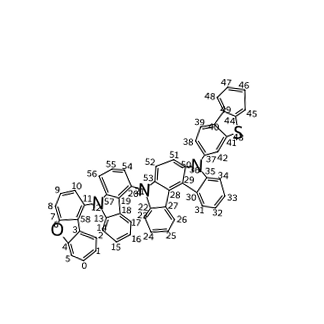 c1ccc2c(c1)oc1cccc(-n3c4ccccc4c4c(-n5c6ccccc6c6c7c8ccccc8n(-c8ccc9c(c8)sc8ccccc89)c7ccc65)cccc43)c12